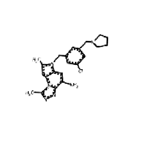 Cc1cc2c(cc(N)c3nnc(C)n32)n1Cc1cc(Cl)cc(CN2CCCC2)c1